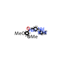 COc1cc(OC)cc(C(=O)NCC2CCC(Nc3nccc(N(C)C)n3)CC2)c1